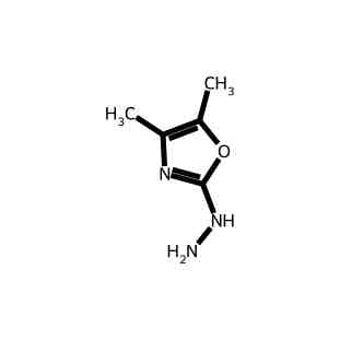 Cc1nc(NN)oc1C